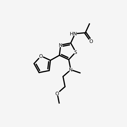 COCCN(C)c1sc(NC(C)=O)nc1-c1ccco1